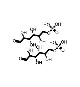 O=C[C@@H](O)[C@@H](O)[C@H](O)[C@H](O)COP(=O)(O)O.O=C[C@@H](O)[C@@H](O)[C@H](O)[C@H](O)COP(=O)(O)O